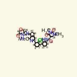 COc1nc(-c2cccc(-c3cccc(NC(=O)c4cn(C)c(=O)n(C)c4=O)c3Cl)c2Cl)cc2c1[C@@H](N1CC3(COCC(=O)N3)C1)CC2